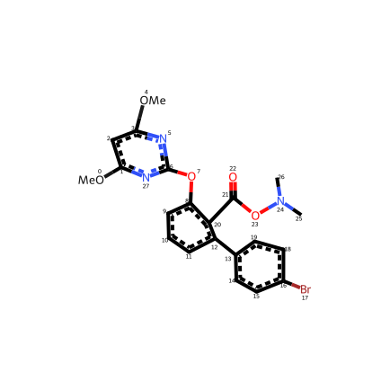 COc1cc(OC)nc(Oc2cccc(-c3ccc(Br)cc3)c2C(=O)ON(C)C)n1